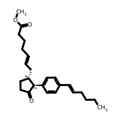 CCCCC=Cc1ccc([C@H]2C(=O)CC[C@@H]2CC=CCCCC(=O)OC)cc1